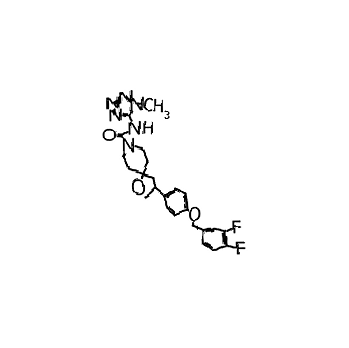 Cn1nnnc1NC(=O)N1CCC2(CC1)CC(c1ccc(OCc3ccc(F)c(F)c3)cc1)CO2